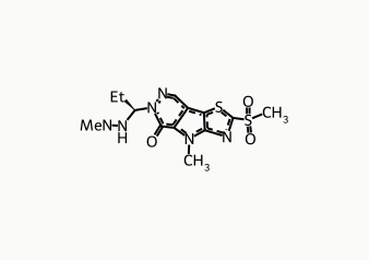 CC[C@H](NNC)n1ncc2c3sc(S(C)(=O)=O)nc3n(C)c2c1=O